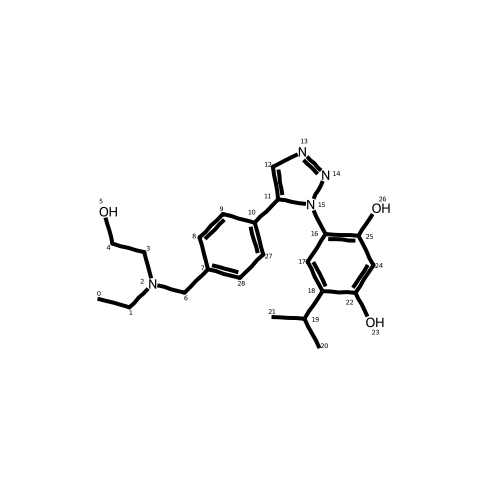 CCN(CCO)Cc1ccc(-c2cnnn2-c2cc(C(C)C)c(O)cc2O)cc1